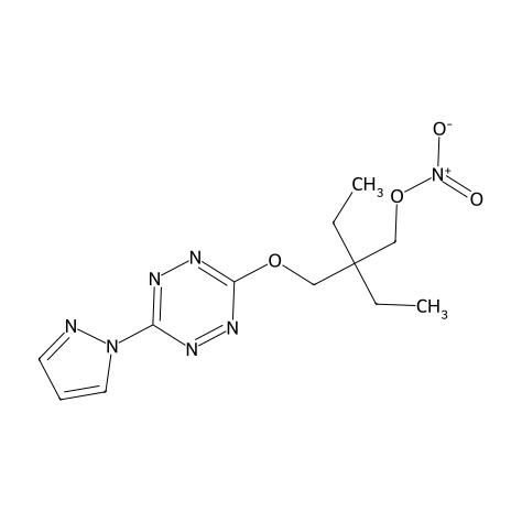 CCC(CC)(COc1nnc(-n2cccn2)nn1)CO[N+](=O)[O-]